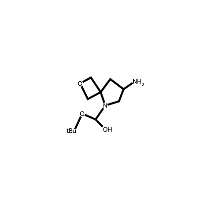 CC(C)(C)OC(O)N1CC(N)CC12COC2